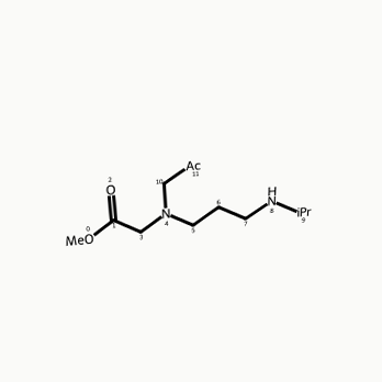 COC(=O)CN(CCCNC(C)C)CC(C)=O